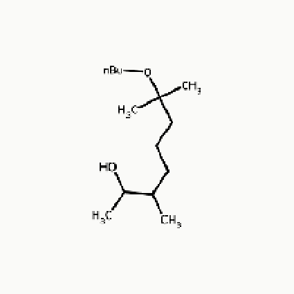 CCCCOC(C)(C)CCCC(C)C(C)O